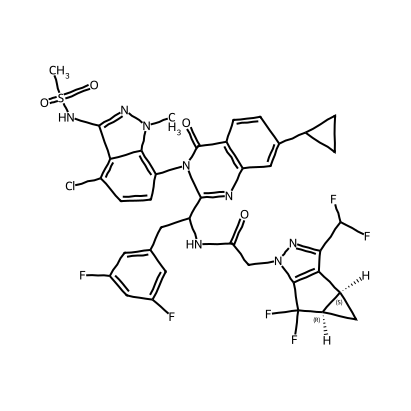 Cn1nc(NS(C)(=O)=O)c2c(Cl)ccc(-n3c(C(Cc4cc(F)cc(F)c4)NC(=O)Cn4nc(C(F)F)c5c4C(F)(F)[C@@H]4C[C@H]54)nc4cc(C5CC5)ccc4c3=O)c21